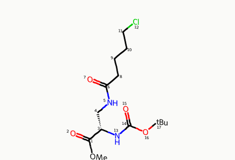 COC(=O)[C@H](CNC(=O)CCCCCl)NC(=O)OC(C)(C)C